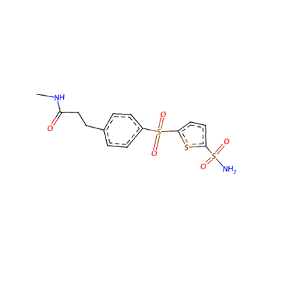 CNC(=O)CCc1ccc(S(=O)(=O)c2ccc(S(N)(=O)=O)s2)cc1